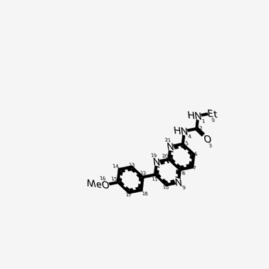 CCNC(=O)Nc1ccc2ncc(-c3ccc(OC)cc3)nc2n1